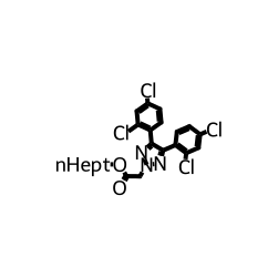 CCCCCCCOC(=O)Cn1nc(-c2ccc(Cl)cc2Cl)c(-c2ccc(Cl)cc2Cl)n1